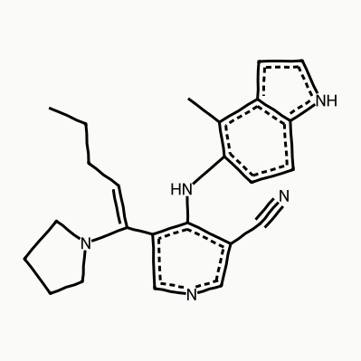 CCCC=C(c1cncc(C#N)c1Nc1ccc2[nH]ccc2c1C)N1CCCC1